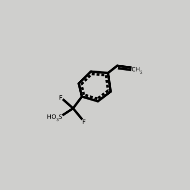 C=Cc1ccc(C(F)(F)S(=O)(=O)O)cc1